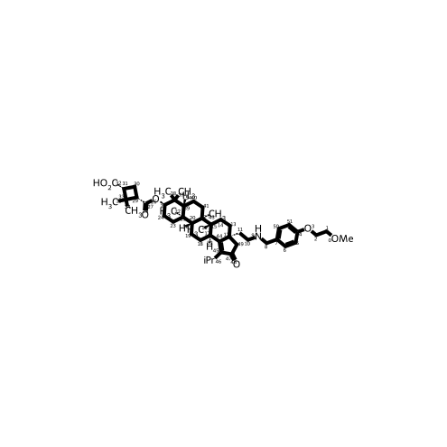 COCCOc1ccc(CNCC[C@@]23CC[C@]4(C)[C@H](CC[C@@H]5[C@@]6(C)CC[C@H](OC(=O)[C@H]7C[C@@H](C(=O)O)C7(C)C)C(C)(C)[C@@H]6CC[C@]54C)C2=C(C(C)C)C(=O)C3)cc1